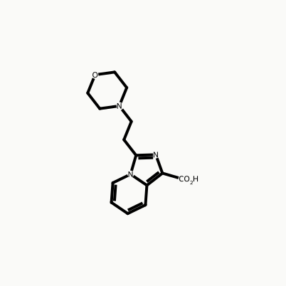 O=C(O)c1nc(CCN2CCOCC2)n2ccccc12